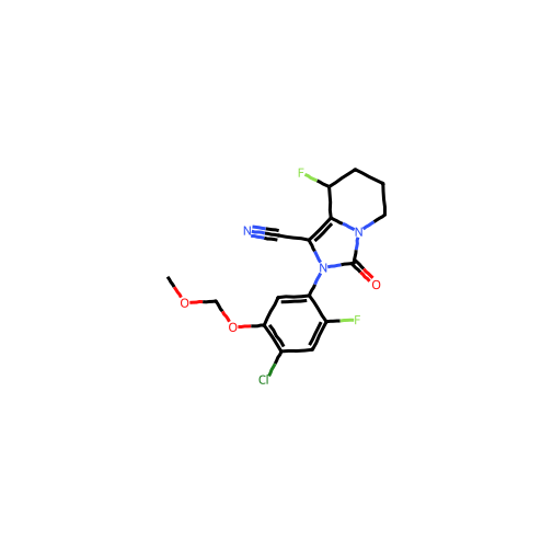 COCOc1cc(-n2c(C#N)c3n(c2=O)CCCC3F)c(F)cc1Cl